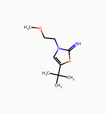 COCCn1cc(C(C)(C)C)sc1=N